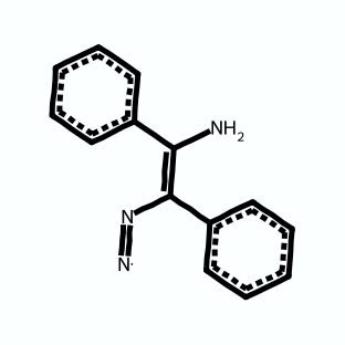 [N]=NC(=C(N)c1ccccc1)c1ccccc1